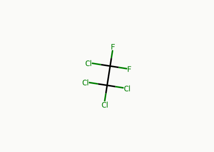 FC(F)(Cl)C(Cl)(Cl)Cl